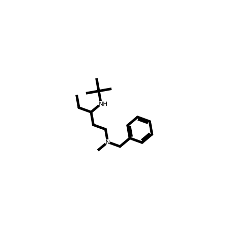 CCC(CCN(C)Cc1ccccc1)NC(C)(C)C